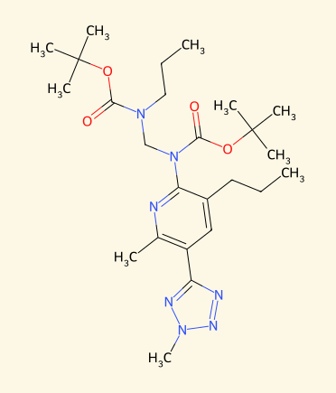 CCCc1cc(-c2nnn(C)n2)c(C)nc1N(CN(CCC)C(=O)OC(C)(C)C)C(=O)OC(C)(C)C